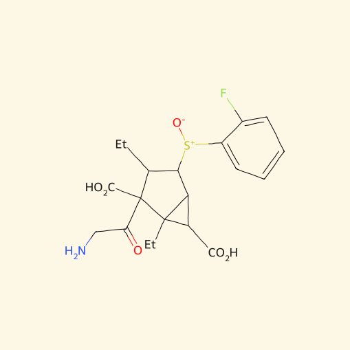 CCC1C([S+]([O-])c2ccccc2F)C2C(C(=O)O)C2(CC)C1(C(=O)O)C(=O)CN